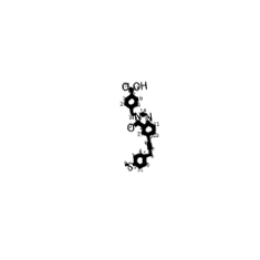 CSc1ccc(CC#Cc2ccc3ncn(Cc4ccc(C(=O)O)cc4)c(=O)c3c2)cc1